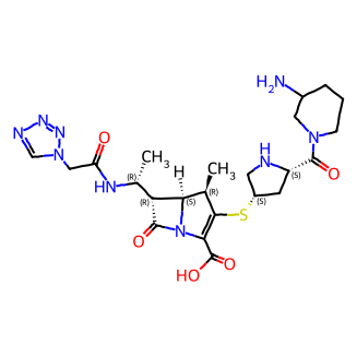 C[C@@H](NC(=O)Cn1cnnn1)[C@H]1C(=O)N2C(C(=O)O)=C(S[C@@H]3CN[C@H](C(=O)N4CCCC(N)C4)C3)[C@H](C)[C@H]12